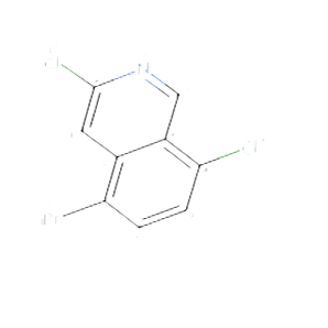 CC(C)c1ccc(Cl)c2cnc(Cl)cc12